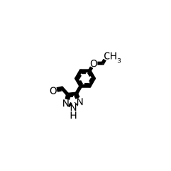 CCOc1ccc(-c2n[nH]nc2C=O)cc1